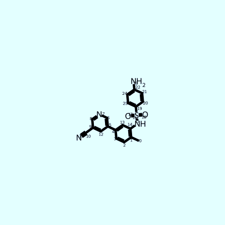 Cc1ccc(-c2cncc(C#N)c2)cc1NS(=O)(=O)c1ccc(N)cc1